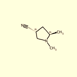 C[C@@H]1C[C@@H](C#N)CN1C